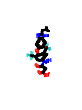 CC(C)Cc1nc2cc(Oc3c(C(F)(F)F)cc(NC(=O)CC(=O)O)cc3C(F)(F)F)ccc2[nH]1